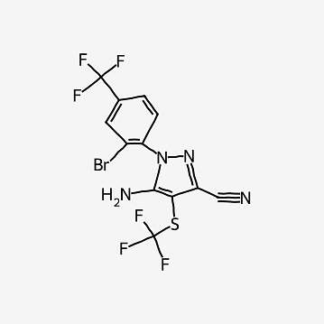 N#Cc1nn(-c2ccc(C(F)(F)F)cc2Br)c(N)c1SC(F)(F)F